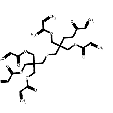 C=CC(=C)OCC(CCC(=O)C=C)(COCC(COC(=O)C=C)(COC(=O)C=C)COC(=O)C=C)COC(=O)C=C